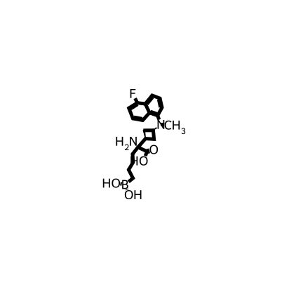 CN(c1cccc2c(F)cccc12)[C@H]1C[C@H]([C@@](N)(CCCCB(O)O)C(=O)O)C1